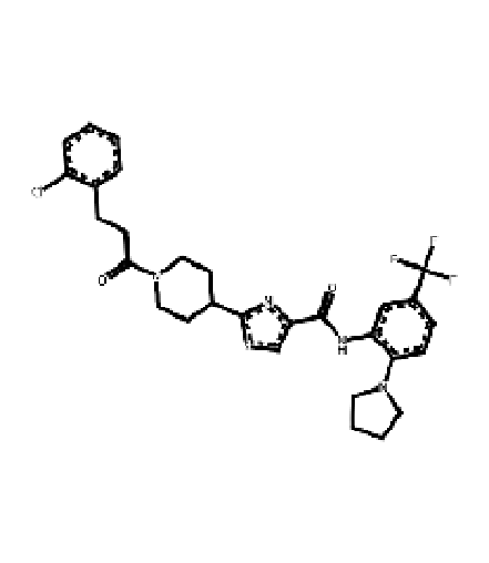 O=C(Nc1cc(C(F)(F)F)ccc1N1CCCC1)c1csc(C2CCN(C(=O)CCc3ccccc3Cl)CC2)n1